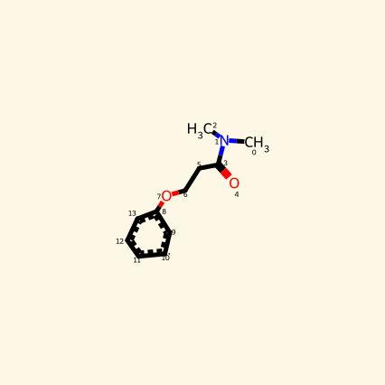 CN(C)C(=O)CCOc1c[c]ccc1